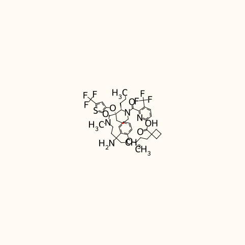 CCC[C@H]1N(C(=O)c2ncccc2C(F)(F)F)CCC[C@@]1(Oc1csc(C(F)(F)F)c1)C(=O)N(C)CCC(N)(CC)c1ccccc1O[C@@H](C)CCC1(C(=O)O)CCC1